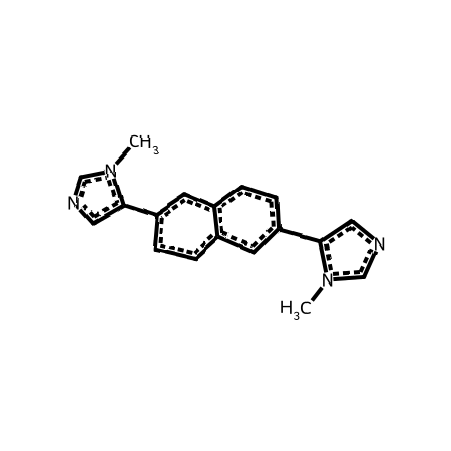 Cn1cncc1-c1ccc2cc(-c3cncn3C)ccc2c1